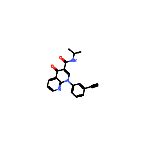 C#Cc1cccc(-n2cc(C(=O)NC(C)C)c(=O)c3cccnc32)c1